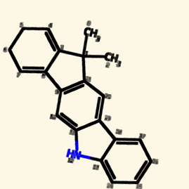 CC1(C)C2=CCCC=C2c2cc3[nH]c4ccccc4c3cc21